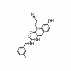 Cc1cccc(CNC(=O)NC(Cc2ccc(O)cc2)C(=O)NCCC#N)c1